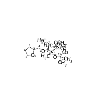 CCC(OCC1CCCO1)[Si]1(C)OC(C)(C)C[Si](C)(C)[Si]1(C)C